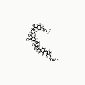 COCCn1ncc(-c2ccc(-c3cnc(C(=O)Nc4ccc(C(=O)N5CCN(C(=O)C6CC[N+](C)(CC(=O)O)CC6)CC5)c(Cl)c4)n3C)c(F)c2F)c1C